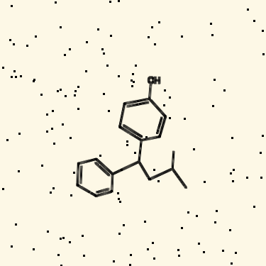 CC(C)CC(c1ccccc1)c1ccc(O)cc1